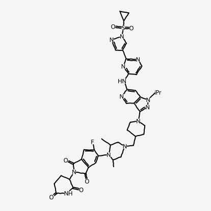 CC1CN(CC2CCN(c3nn(C(C)C)c4cc(Nc5ccnc(-c6cnn(S(=O)(=O)C7CC7)c6)n5)ncc34)CC2)CC(C)N1c1cc2c(cc1F)C(=O)N(C1CCC(=O)NC1=O)C2=O